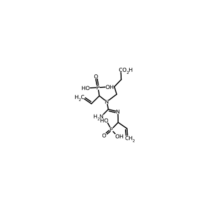 C=CC(N=C(N)N(CCCC(=O)O)C(C=C)P(=O)(O)O)P(=O)(O)O